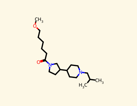 COCCCCCC(=O)N1CCC(C2CCN(CC(C)C)CC2)C1